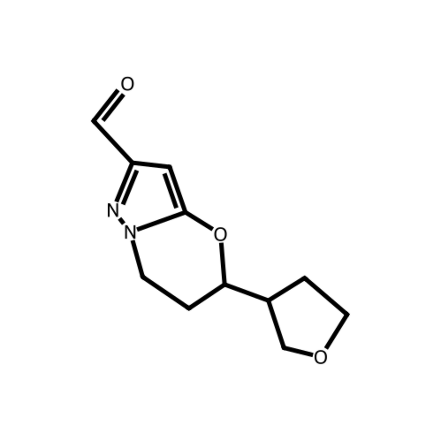 O=Cc1cc2n(n1)CCC(C1CCOC1)O2